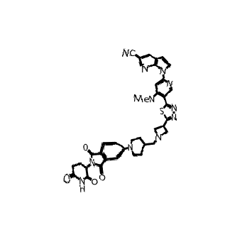 CNc1cc(-n2ccc3cc(C#N)cnc32)ncc1-c1nnc(C2CN(CC3CCN(c4ccc5c(c4)C(=O)N(C4CCC(=O)NC4=O)C5=O)CC3)C2)s1